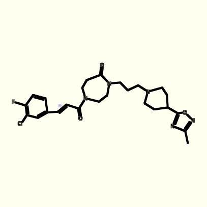 Cc1noc(C2CCN(CCCN3CCN(C(=O)/C=C/c4ccc(F)c(Cl)c4)CCC3=O)CC2)n1